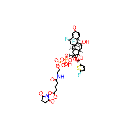 C[C@]12C=CC(=O)C=C1[C@@H](F)C[C@H]1[C@@H]3C[C@H]4O[C@@H](c5ccc(F)s5)O[C@@]4(C(=O)COP(=O)(O)OP(=O)(O)OCCNC(=O)CCCC(=O)ON4C(=O)CCC4=O)[C@@]3(C)C[C@H](O)[C@@]12F